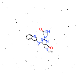 CC(C)N1Cc2c(nc(N3CCNC(=O)C3)nc2N(C)c2cnc3ccccc3c2)C1=O